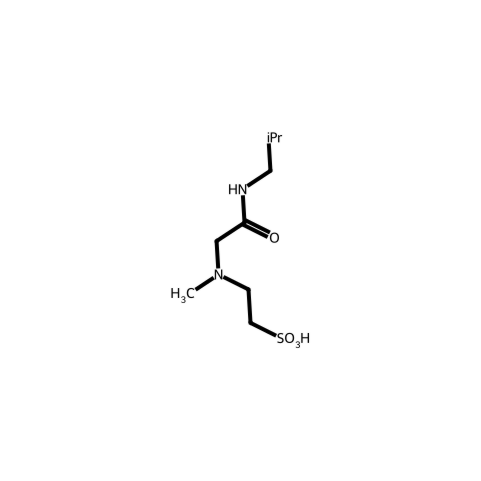 CC(C)CNC(=O)CN(C)CCS(=O)(=O)O